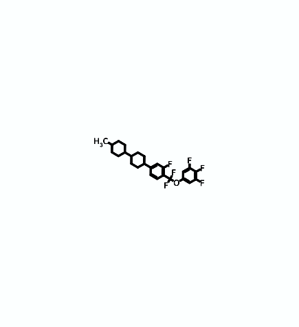 CC1CCC(C2CCC(c3ccc(C(F)(F)Oc4cc(F)c(F)c(F)c4)c(F)c3)CC2)CC1